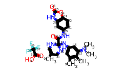 CC1=CNC(Nc2cc(C)c(C)c(N(C)C)c2)(C(=O)Nc2ccc3oc(=O)[nH]c3c2)N=C1.O=C(O)C(F)(F)F